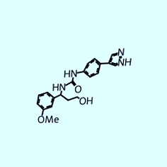 COc1cccc(C(CCO)NC(=O)Nc2ccc(-c3cn[nH]c3)cc2)c1